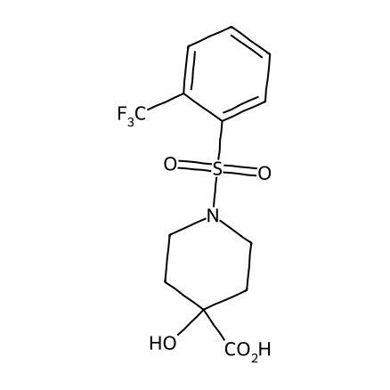 O=C(O)C1(O)CCN(S(=O)(=O)c2ccccc2C(F)(F)F)CC1